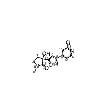 CN1CCC(O)(c2cc(-c3ccnc(Cl)c3)no2)C1=O